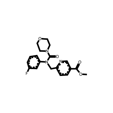 COC(=O)c1ccc(CN(C(=O)N2CCOCC2)c2cccc(F)c2)nc1